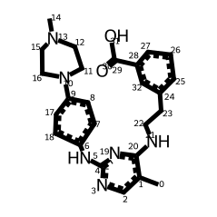 Cc1cnc(Nc2ccc(N3CCN(C)CC3)cc2)nc1NCCc1cccc(C(=O)O)c1